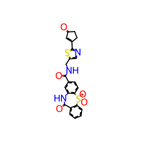 O=C1C=C(c2ncc(CNC(=O)c3ccc4c(c3)NC(=O)c3ccccc3S4(=O)=O)s2)CC1